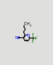 CCCCc1nc(C(F)(F)F)ccc1C#N